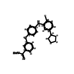 CNC(=O)c1cc(Oc2ccc(Nc3nc(N4CCCC4)ccc3C)cc2)ccn1